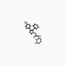 CN1CCC[C@H](NC(=O)Cn2cnc(-c3ccc(Cl)cc3)c2-c2ccncc2)C1